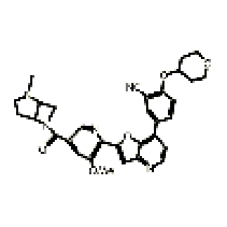 COc1cc(C(=O)N2CC3C2CCN3C)cnc1-c1cc2nccc(-c3ccc(OC4CCOCC4)c(C#N)c3)c2o1